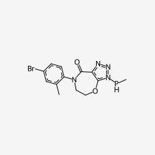 CPn1nnc2c1OCCN(c1ccc(Br)cc1C)C2=O